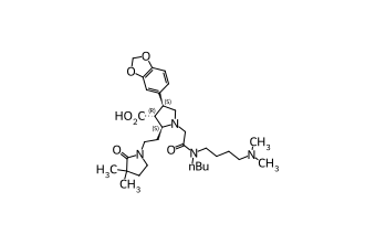 CCCCN(CCCCN(C)C)C(=O)CN1C[C@H](c2ccc3c(c2)OCO3)[C@@H](C(=O)O)[C@@H]1CCN1CCC(C)(C)C1=O